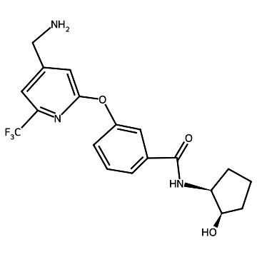 NCc1cc(Oc2cccc(C(=O)N[C@H]3CCC[C@H]3O)c2)nc(C(F)(F)F)c1